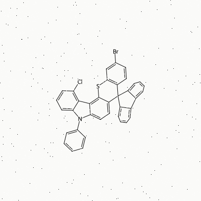 Clc1cccc2c1c1c3c(ccc1n2-c1ccccc1)C1(c2ccc(Br)cc2S3)c2ccccc2-c2ccccc21